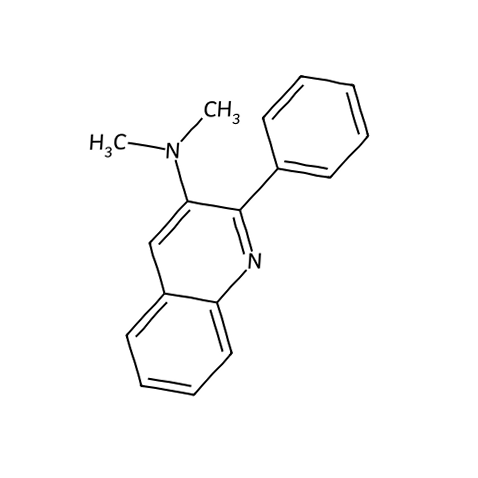 CN(C)c1cc2ccccc2nc1-c1ccccc1